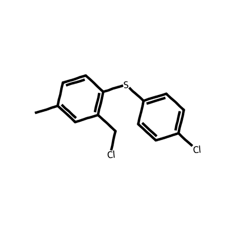 Cc1ccc(Sc2ccc(Cl)cc2)c(CCl)c1